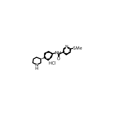 CSc1ccc(C(=O)Nc2ccc([C@@H]3CCCNC3)cc2)cn1.Cl